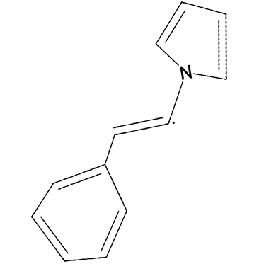 [C](=Cc1ccccc1)n1cccc1